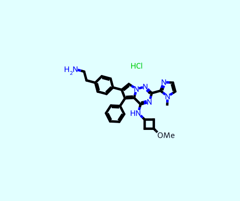 COC1CC(Nc2nc(-c3nccn3C)nn3cc(-c4ccc(CCN)cc4)c(-c4ccccc4)c23)C1.Cl